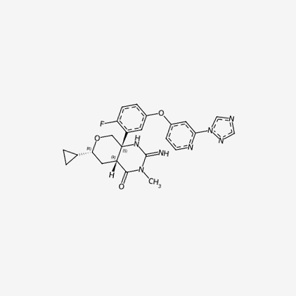 CN1C(=N)N[C@@]2(c3cc(Oc4ccnc(-n5cncn5)c4)ccc3F)CO[C@@H](C3CC3)C[C@H]2C1=O